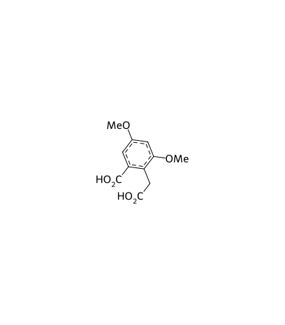 COc1cc(OC)c(CC(=O)O)c(C(=O)O)c1